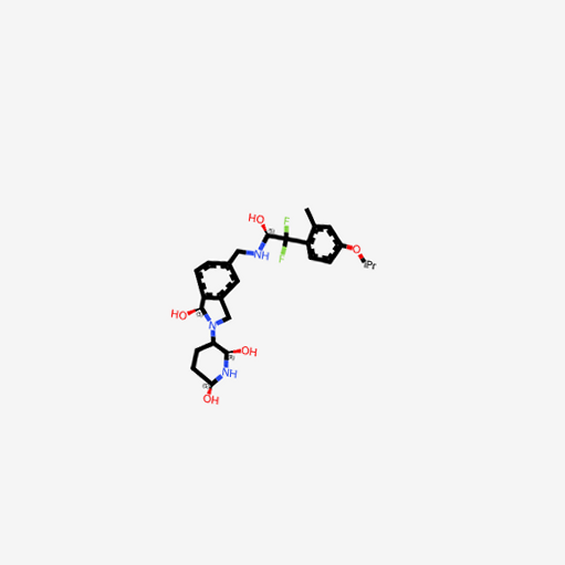 Cc1cc(OC(C)C)ccc1C(F)(F)[C@H](O)NCc1ccc2c(c1)CN(C1CC[C@H](O)N[C@@H]1O)[C@H]2O